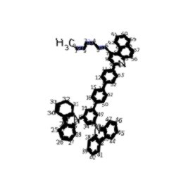 C\C=C/C=C\C=C\c1cc(-c2ccc(-c3ccc(-c4cc(-n5c6c(c7ccccc75)C=CCC6)cc(-n5c6ccccc6c6ccccc65)c4)cc3)cc2)nc2ccc3ccccc3c12